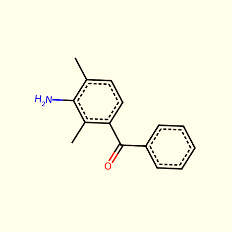 Cc1ccc(C(=O)c2ccccc2)c(C)c1N